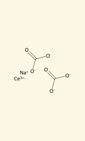 O=C([O-])[O-].O=C([O-])[O-].[Ce+3].[Na+]